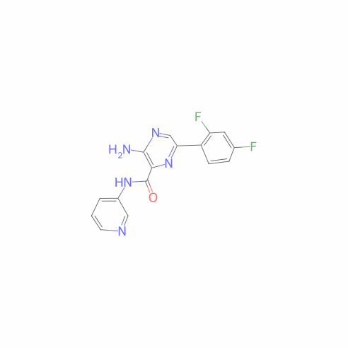 Nc1ncc(-c2ccc(F)cc2F)nc1C(=O)Nc1cccnc1